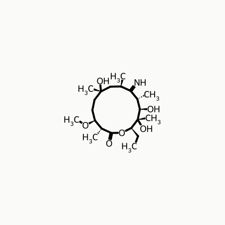 CC[C@H]1OC(=O)[C@H](C)[C@@H](OC)CC[C@](C)(O)C[C@@H](C)C(=N)[C@H](C)[C@@H](O)[C@]1(C)O